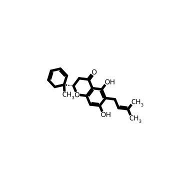 CC(C)=CCc1c(O)cc2c(c1O)C(=O)C[C@@H](C1(C)C=CC=CC1)O2